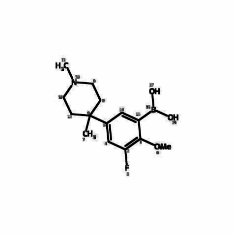 COc1c(F)cc(C2(C)CCN(C)CC2)cc1B(O)O